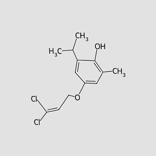 Cc1cc(OCC=C(Cl)Cl)cc(C(C)C)c1O